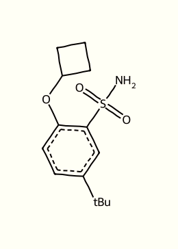 CC(C)(C)c1ccc(OC2CCC2)c(S(N)(=O)=O)c1